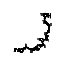 OCC=C=COC=C=CCO